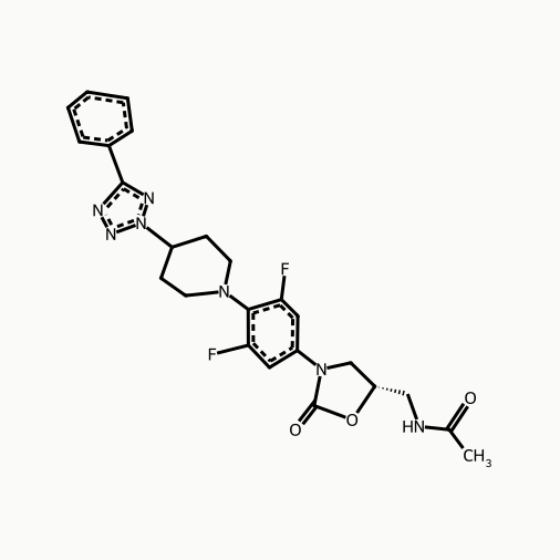 CC(=O)NC[C@H]1CN(c2cc(F)c(N3CCC(n4nnc(-c5ccccc5)n4)CC3)c(F)c2)C(=O)O1